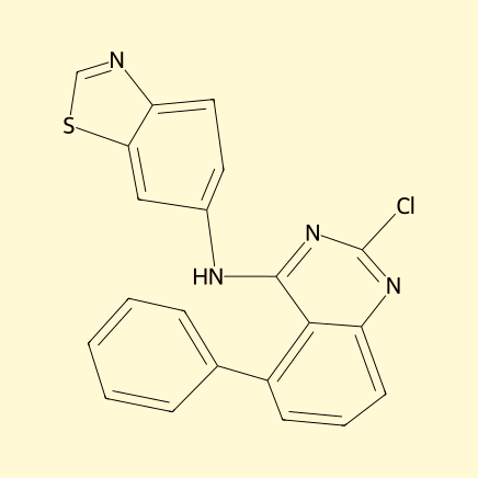 Clc1nc(Nc2ccc3ncsc3c2)c2c(-c3ccccc3)cccc2n1